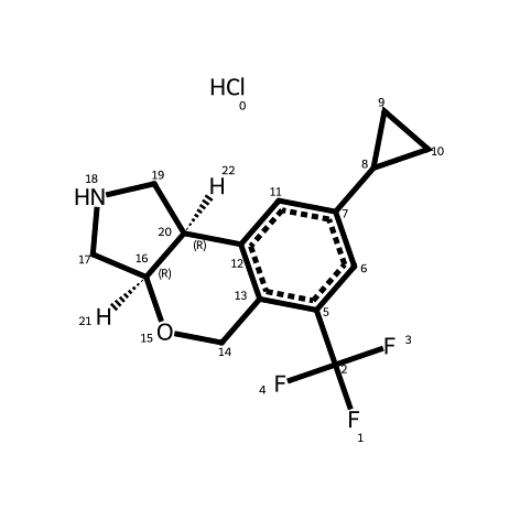 Cl.FC(F)(F)c1cc(C2CC2)cc2c1CO[C@H]1CNC[C@@H]21